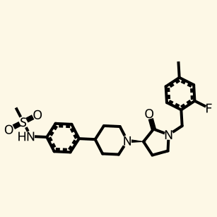 Cc1ccc(CN2CC[C@@H](N3CCC(c4ccc(NS(C)(=O)=O)cc4)CC3)C2=O)c(F)c1